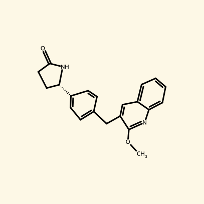 COc1nc2ccccc2cc1Cc1ccc([C@@H]2CCC(=O)N2)cc1